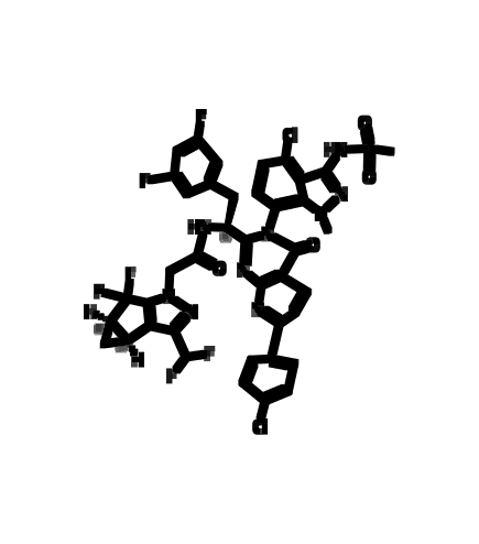 Cn1nc(NS(C)(=O)=O)c2c(Cl)ccc(-n3c([C@H](Cc4cc(F)cc(F)c4)NC(=O)Cn4nc(C(F)F)c5c4C(F)(F)[C@@H]4C[C@H]54)nc4nc(-c5ccc(Cl)cc5)ccc4c3=O)c21